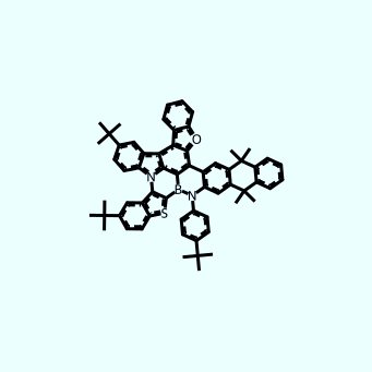 CC(C)(C)c1ccc(N2B3c4sc5ccc(C(C)(C)C)cc5c4-n4c5ccc(C(C)(C)C)cc5c5c6c(oc7ccccc76)c(c3c54)-c3cc4c(cc32)C(C)(C)c2ccccc2C4(C)C)cc1